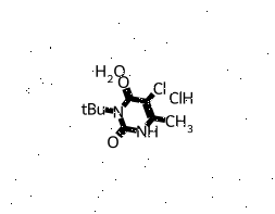 Cc1[nH]c(=O)n(C(C)(C)C)c(=O)c1Cl.Cl.O